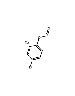 CCc1ccc(OP=O)cc1.[Cu]